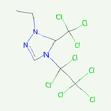 CCN1N=CN(C(Cl)(Cl)C(Cl)(Cl)Cl)C1C(Cl)(Cl)Cl